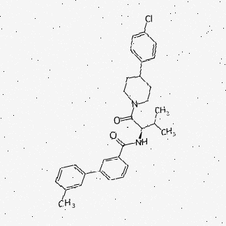 Cc1cccc(-c2cccc(C(=O)N[C@@H](C(=O)N3CCC(c4ccc(Cl)cc4)CC3)C(C)C)c2)c1